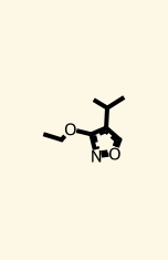 CCOc1nocc1C(C)C